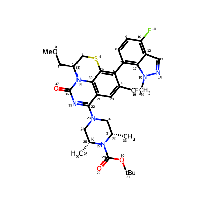 COC[C@H]1CSc2c(-c3ccc(F)c4cnn(C)c34)c(C(F)(F)F)cc3c(N4C[C@@H](C)N(C(=O)OC(C)(C)C)[C@@H](C)C4)nc(=O)n1c23